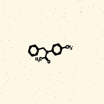 [CH2]c1ccc(N(Cc2ccccc2)C(C)=O)cc1